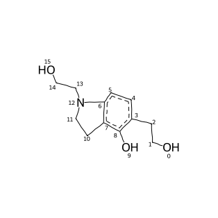 OCCc1ccc2c(c1O)CCN2CCO